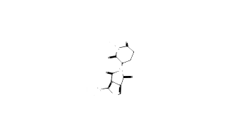 CN1C(=O)CCC(N2C(=O)c3csc(N)c3C2=O)C1=O